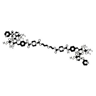 CC(C)(C)OC(=O)[C@H](Cc1ccc(NC(=O)N2CCN(C(=O)OCCOCCCOC(=O)N3CCN(C(=O)Nc4ccc(C[C@H](NC(=O)[C@H]5N(S(=O)(=O)c6cccnc6)CSC5(C)C)C(=O)OC(C)(C)C)cc4)CC3)CC2)cc1)NC(=O)[C@H]1N(Oc2cccnc2)CSC1(C)C